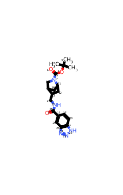 CC(C)(C)OC(=O)N1CC2CC1CC2CNC(=O)c1ccc2[nH]nnc2c1